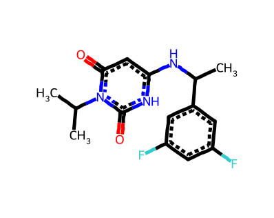 CC(Nc1cc(=O)n(C(C)C)c(=O)[nH]1)c1cc(F)cc(F)c1